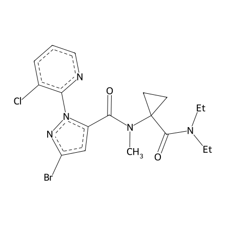 CCN(CC)C(=O)C1(N(C)C(=O)c2cc(Br)nn2-c2ncccc2Cl)CC1